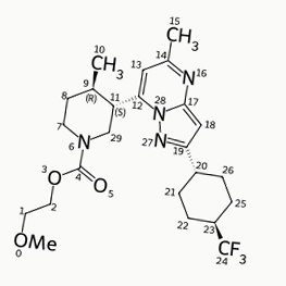 COCCOC(=O)N1CC[C@@H](C)[C@H](c2cc(C)nc3cc([C@H]4CC[C@H](C(F)(F)F)CC4)nn23)C1